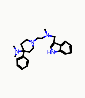 CN(CCN1CCC(c2ccccc2)(N(C)C)CC1)Cc1c[nH]c2ccccc12